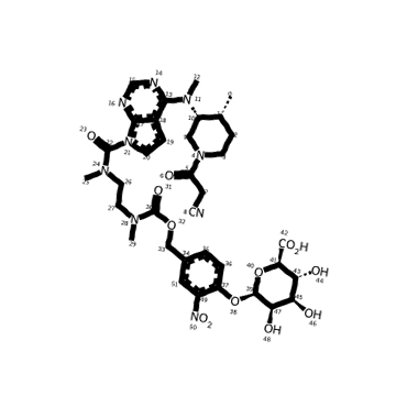 C[C@@H]1CCN(C(=O)CC#N)C[C@@H]1N(C)c1ncnc2c1ccn2C(=O)N(C)CCN(C)C(=O)OCc1ccc(O[C@H]2O[C@@H](C(=O)O)[C@H](O)[C@@H](O)[C@H]2O)c([N+](=O)[O-])c1